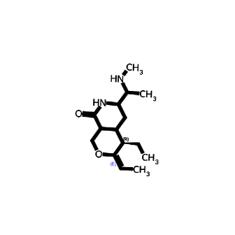 C/C=C1/OCC2C(=O)NC(C(C)NC)CC2[C@H]1CC